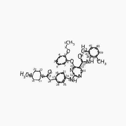 CCOc1ccccc1Oc1nc(Nc2ccc(CC(=O)N3CCN(C)CC3)cc2)ncc1C(=O)Nc1c(C)cccc1C